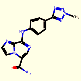 Cn1nnc(-c2ccc(Nc3ncc(C(N)=O)n4ccnc34)cc2)n1